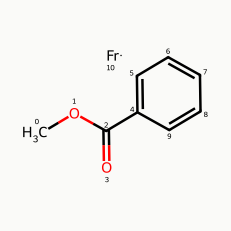 COC(=O)c1ccccc1.[Fr]